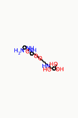 Nc1cccc(NC(=O)Nc2cccc(COCCOCCCCCCNC[C@H](O)c3ccc(O)c(CO)c3)c2)c1